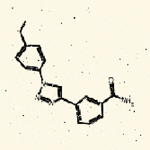 C[CH]c1ccc(-n2cc(-c3cccc(C(N)=O)c3)nn2)cc1